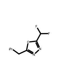 CC(C)Cc1nnc(C(F)F)o1